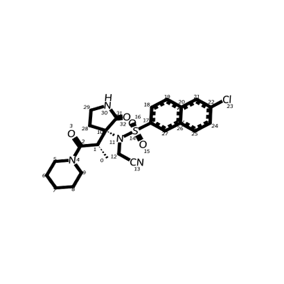 C[C@H](C(=O)N1CCCCC1)[C@@]1(N(CC#N)S(=O)(=O)c2ccc3cc(Cl)ccc3c2)CCNC1=O